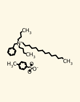 CCCCCCCCCCCCCC[N+](CCCC)(CCCC)Cc1ccccc1.Cc1ccc(S(=O)(=O)[O-])cc1